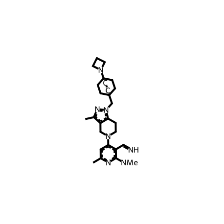 CNc1nc(C)cc(N2CCc3c(c(C)nn3CC34CCC(N5CCC5)(CC3)CC4)C2)c1C=N